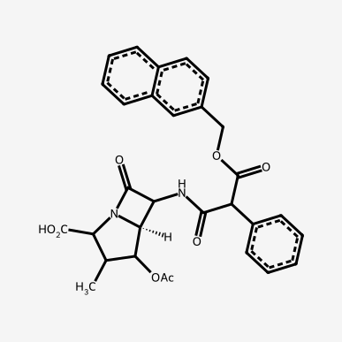 CC(=O)OC1C(C)C(C(=O)O)N2C(=O)C(NC(=O)C(C(=O)OCc3ccc4ccccc4c3)c3ccccc3)[C@@H]12